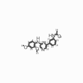 COc1ccc(Nc2cncc(-c3cccc(NC(C)=O)c3)n2)c(OC)c1